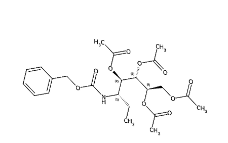 CC[C@H](NC(=O)OCc1ccccc1)[C@@H](OC(C)=O)[C@H](OC(C)=O)[C@@H](COC(C)=O)OC(C)=O